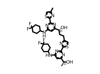 Cc1csc(-c2nc(NC3CCC(F)(F)CC3)cc([C@H](O)CCc3csc(-c4nc(NC5CCC(F)(F)CC5)cc([C@H](C)O)n4)n3)n2)n1